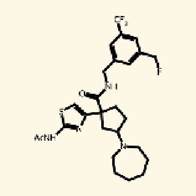 CC(=O)Nc1nc(C2(C(=O)NCc3cc(CF)cc(C(F)(F)F)c3)CCC(N3CCCCCC3)C2)cs1